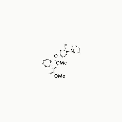 C=C(OC)/C(=C/OC)c1ccccc1COc1ccc(N2CCCCC2)c(F)c1